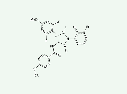 CCn1cccc(N2C(=O)C(NC(=O)c3ccc(OC(F)(F)F)cc3)[C@H](c3c(F)cc(OC)cc3F)[C@@H]2C)c1=O